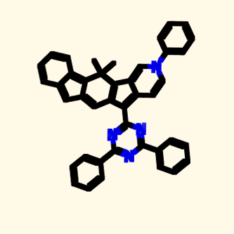 CC1(C)C2=c3ccccc3=CC2=Cc2c(-c3nc(-c4ccccc4)nc(-c4ccccc4)n3)c3ccn(-c4ccccc4)cc-3c21